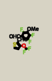 COc1c(F)c(F)cc(C=O)c1F.O=Cc1sccc1OC(F)F